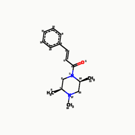 C[C@H]1CN(C(=O)C=Cc2ccccc2)[C@@H](C)CN1C